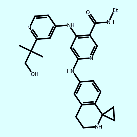 CCNC(=O)c1cnc(Nc2ccc3c(c2)CCNC32CC2)cc1Nc1ccnc(C(C)(C)CO)c1